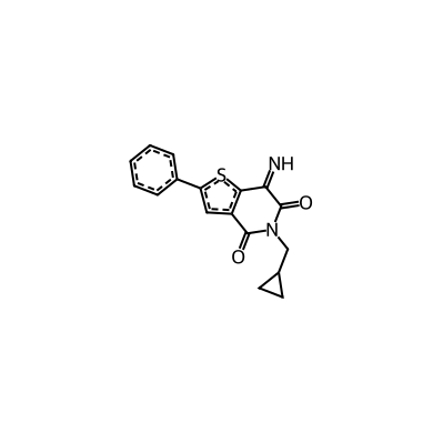 N=C1C(=O)N(CC2CC2)C(=O)c2cc(-c3ccccc3)sc21